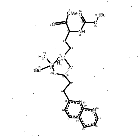 COC(=O)C(CCOC[C@H](CCc1ccc2cccnc2n1)O[Si](C)(C)C(C)(C)C)NC(=O)OC(C)(C)C